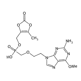 COc1nc(N)nc2c1ncn2CCOCP(=O)(O)OCc1oc(=O)oc1C